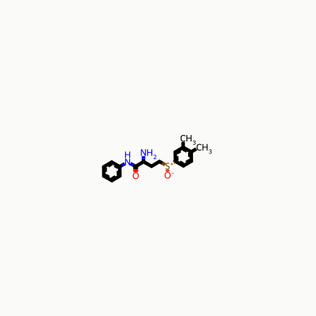 Cc1ccc([S+]([O-])CCC(N)C(=O)Nc2ccccc2)cc1C